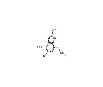 Cc1cn2cc(Br)cc(CN)c2n1.Cl